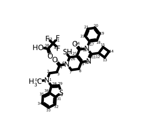 CN(CCC(=O)N1CCc2nc(C3CCC3)n(-c3ccccc3)c(=O)c2C1S)c1csc2ccccc12.O=C(O)C(F)(F)F